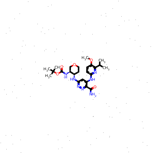 COc1ccc(Nc2cc(N[C@@H]3CCOC[C@@H]3NC(=O)OC(C)(C)C)nnc2C(N)=O)nc1C(C)C